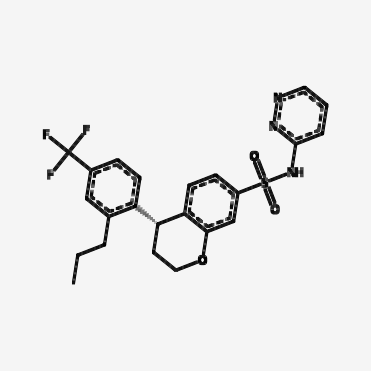 CCCc1cc(C(F)(F)F)ccc1[C@H]1CCOc2cc(S(=O)(=O)Nc3cccnn3)ccc21